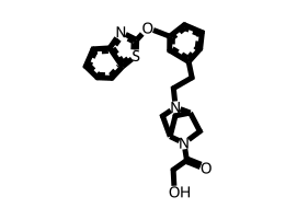 O=C(CO)N1CC2CC1CN2CCc1cccc(Oc2nc3ccccc3s2)c1